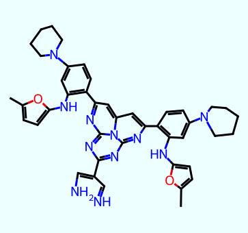 Cc1ccc(Nc2cc(N3CCCCC3)ccc2C2=CC3=CC(c4ccc(N5CCCCC5)cc4Nc4ccc(C)o4)=NC4=NC(/C(C=N)=C/N)=NC(=N2)N34)o1